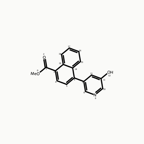 COC(=O)c1ccc(-c2cncc(O)c2)c2ccccc12